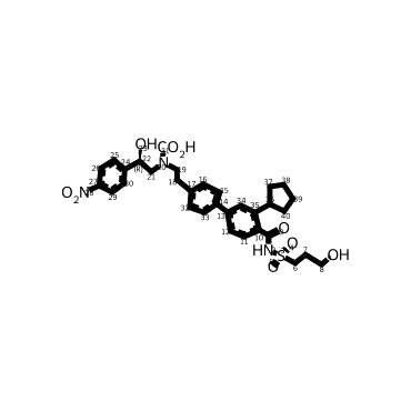 O=C(NS(=O)(=O)CCCO)c1ccc(-c2ccc(CCN(C[C@H](O)c3ccc([N+](=O)[O-])cc3)C(=O)O)cc2)cc1C1CCCC1